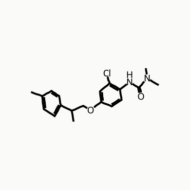 Cc1ccc(C(C)COc2ccc(NC(=O)N(C)C)c(Cl)c2)cc1